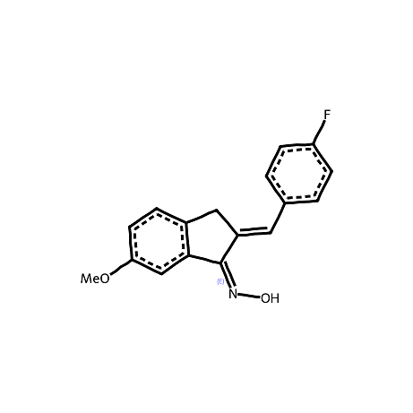 COc1ccc2c(c1)/C(=N/O)C(=Cc1ccc(F)cc1)C2